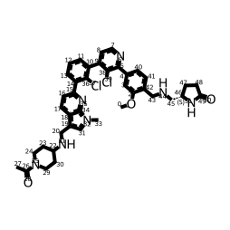 COc1cc(-c2nccc(-c3cccc(-c4ccc5c(CNC6CCN(C(C)=O)CC6)cn(C)c5n4)c3Cl)c2Cl)ccc1CNC[C@@H]1CCC(=O)N1